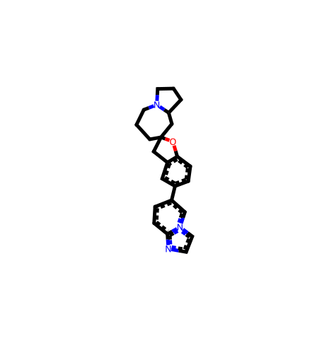 c1cn2cc(-c3ccc4c(c3)CC3(CCCN5CCCC5C3)O4)ccc2n1